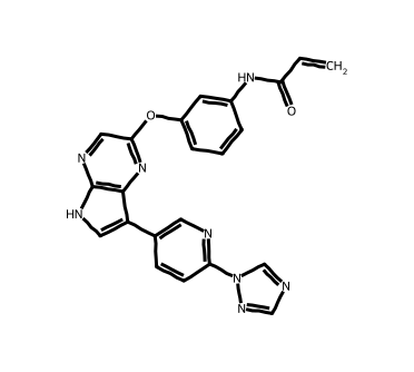 C=CC(=O)Nc1cccc(Oc2cnc3[nH]cc(-c4ccc(-n5cncn5)nc4)c3n2)c1